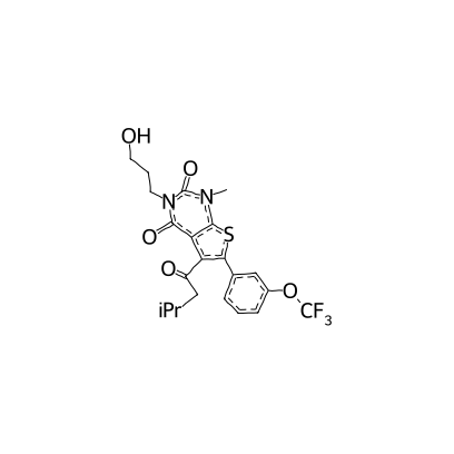 CC(C)CC(=O)c1c(-c2cccc(OC(F)(F)F)c2)sc2c1c(=O)n(CCCO)c(=O)n2C